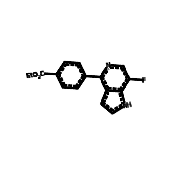 CCOC(=O)c1ccc(-c2ncc(F)c3[nH]ccc23)cc1